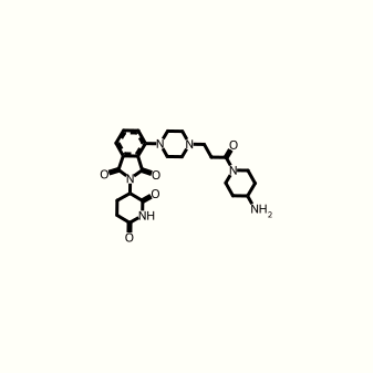 NC1CCN(C(=O)CCN2CCN(c3cccc4c3C(=O)N(C3CCC(=O)NC3=O)C4=O)CC2)CC1